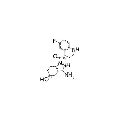 NC1NN(C(=O)[C@H]2CCNc3ccc(F)cc32)C2=C1C[C@H](O)CC2